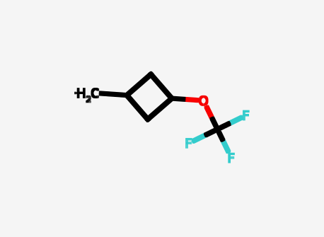 [CH2]C1CC(OC(F)(F)F)C1